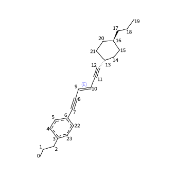 CCCc1ccc(C#C/C=C/C#C[C@H]2CC[C@H](CCC)CC2)cc1